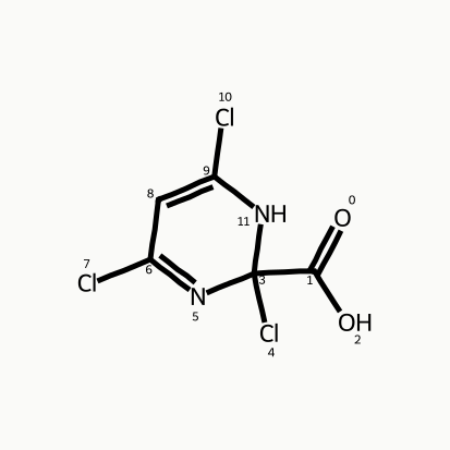 O=C(O)C1(Cl)N=C(Cl)C=C(Cl)N1